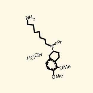 CCCN(CCCCCCCN)[C@H]1CCc2c(ccc(OC)c2OC)C1.Cl.Cl